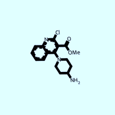 COC(=O)c1c(Cl)nc2ccccc2c1N1CCC(N)CC1